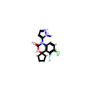 Cn1nccc1N1C(=O)OC2(CCCC2)c2c1ccc(Cl)c2F